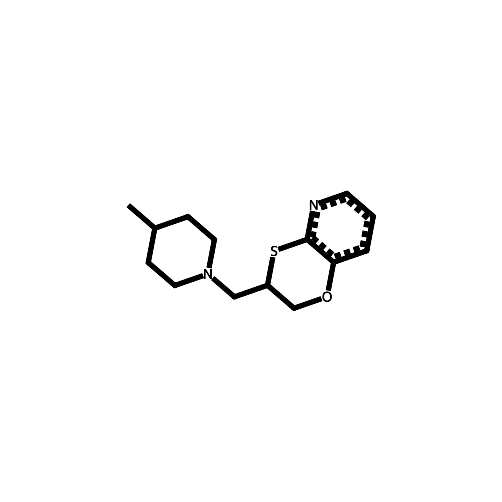 CC1CCN(CC2COc3cccnc3S2)CC1